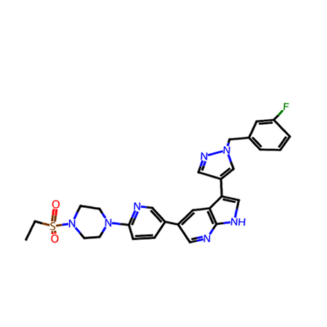 CCS(=O)(=O)N1CCN(c2ccc(-c3cnc4[nH]cc(-c5cnn(Cc6cccc(F)c6)c5)c4c3)cn2)CC1